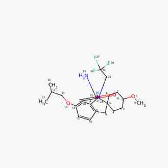 COC1CCC2(CC1)Cc1ccc(OCC(C)C)cc1C21N=C(N)N(CC(F)(F)F)C1=O